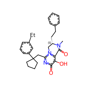 CCc1cccc(C2(Cc3nc(=O)c(O)c4n3C[C@H](CCc3ccccc3)N(C)C4=O)CCCC2)c1